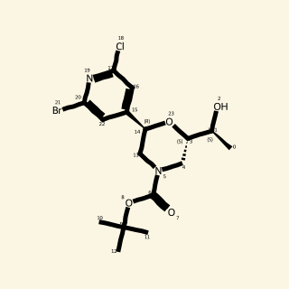 C[C@H](O)[C@@H]1CN(C(=O)OC(C)(C)C)C[C@@H](c2cc(Cl)nc(Br)c2)O1